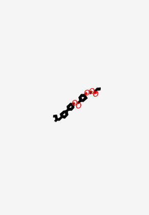 C=CC(=O)OCOc1ccc(C(=O)Oc2ccc(-c3ccc(CC(C)CC)cc3)cc2)cc1